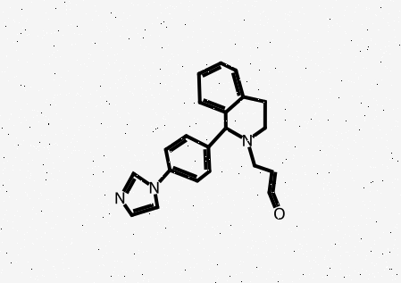 O=C=CCN1CCc2ccccc2C1c1ccc(-n2ccnc2)cc1